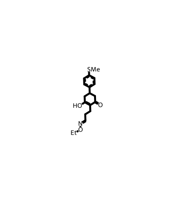 CCON=CCCC1=C(O)CC(c2ccc(SC)cc2)CC1=O